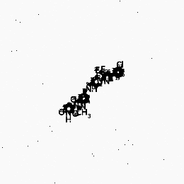 Cc1nc2ccc(CNCC3CCN(c4ncc(-c5cccc(Cl)c5)cc4C(F)(F)F)CC3)cc2c(=O)n1C1CCC(=O)NC1=O